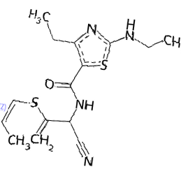 C=C(S/C=C\C)C(C#N)NC(=O)c1sc(NCC)nc1CC